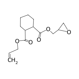 C=CCOC(=O)C1CCCCC1C(=O)OCC1CO1